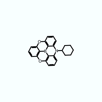 c1cc2c3c(c1)Oc1cccc4c1B3c1c(cccc1N4C1CCCCC1)O2